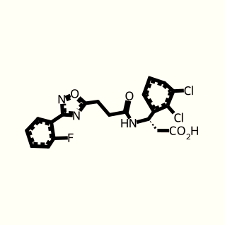 O=C(O)C[C@H](NC(=O)CCc1nc(-c2ccccc2F)no1)c1cccc(Cl)c1Cl